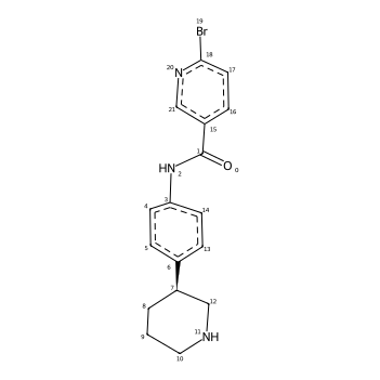 O=C(Nc1ccc([C@@H]2CCCNC2)cc1)c1ccc(Br)nc1